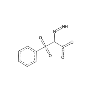 N=NC([SH](=O)=O)S(=O)(=O)c1ccccc1